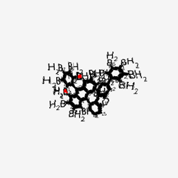 Bc1c(B)c(B)c(-c2ccc3c(c2)oc2cccc(-c4c5c(B)c(B)c(B)c(B)c5c(-c5c(B)c(B)c(B)c(B)c5B)c5c(B)c(B)c(B)c(B)c45)c23)c(B)c1B